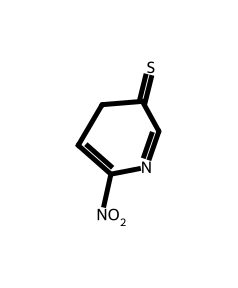 O=[N+]([O-])C1=CCC(=S)C=N1